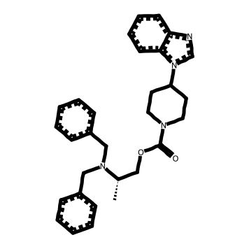 C[C@@H](COC(=O)N1CCC(n2cnc3ccccc32)CC1)N(Cc1ccccc1)Cc1ccccc1